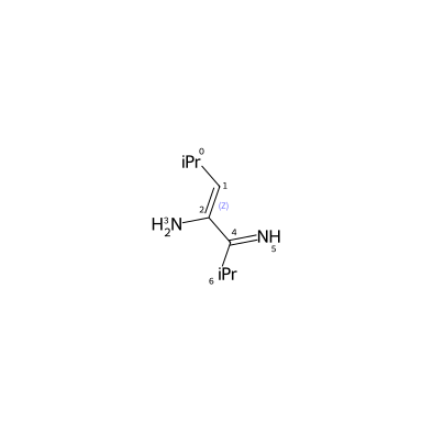 CC(C)/C=C(\N)C(=N)C(C)C